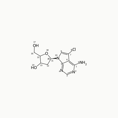 Nc1ncnc2c1c(Cl)cn2[C@H]1CC(O)C(CO)O1